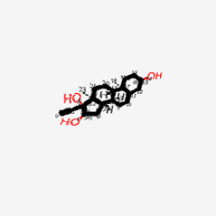 C#C[C@]1(O)[C@H](O)C[C@H]2[C@@H]3CC=C4C[C@H](O)CC[C@]4(C)[C@H]3CC[C@@]21C